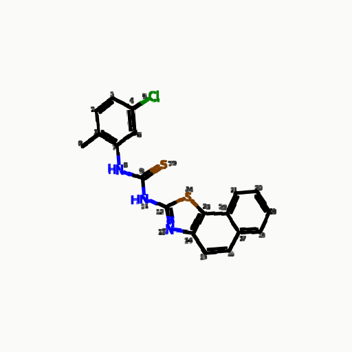 Cc1ccc(Cl)cc1NC(=S)Nc1nc2ccc3ccccc3c2s1